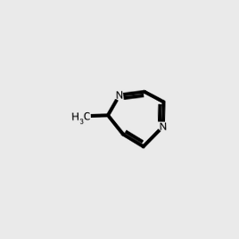 CC1C=CN=CC=N1